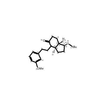 COc1cccc(CCC2C(=O)CC[C@]3(C)[C@@H](OC(C)(C)C)CC[C@@H]23)c1